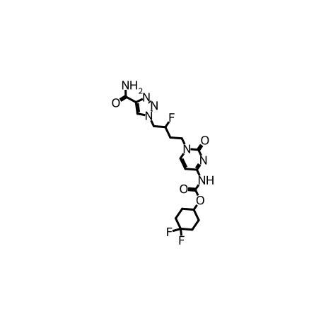 NC(=O)c1cn(CC(F)CCn2ccc(NC(=O)OC3CCC(F)(F)CC3)nc2=O)nn1